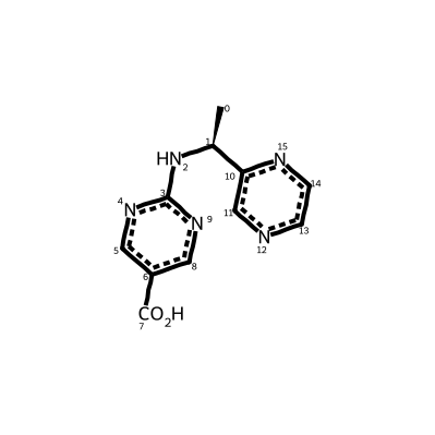 C[C@H](Nc1ncc(C(=O)O)cn1)c1cnccn1